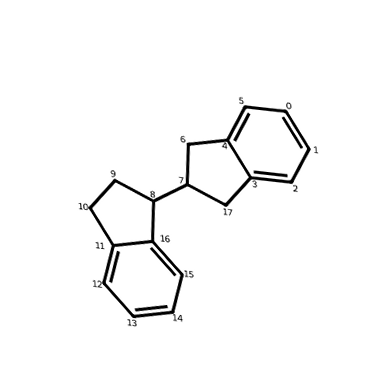 c1ccc2c(c1)CC(C1CCc3ccccc31)C2